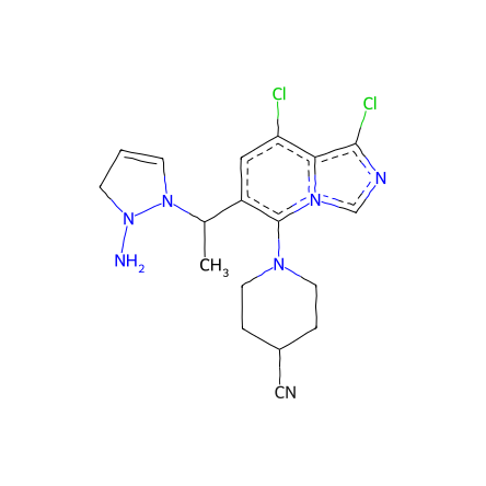 CC(c1cc(Cl)c2c(Cl)ncn2c1N1CCC(C#N)CC1)N1C=CCN1N